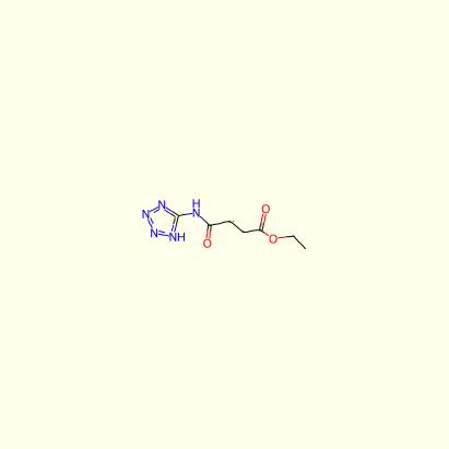 CCOC(=O)C[CH]C(=O)Nc1nnn[nH]1